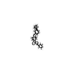 O=C(OCc1ccccc1)N1CCN(Cc2cccc(-n3cccc3)c2)CC1